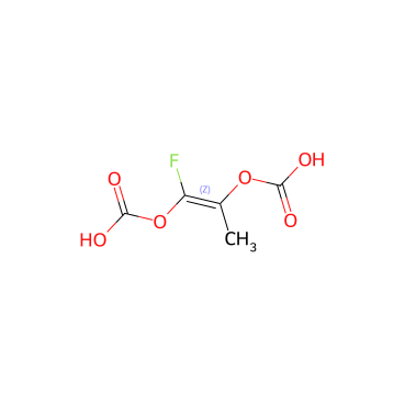 C/C(OC(=O)O)=C(/F)OC(=O)O